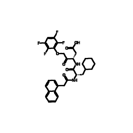 O=C(O)C[C@H](NC(=O)[C@H](CC1CCCCC1)NC(=O)Cc1cccc2ccccc12)C(=O)COc1c(F)c(F)cc(F)c1F